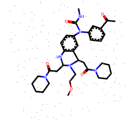 CNC(=O)N(c1cccc(C(C)=O)c1)c1ccc2c(c1)C(CC(=O)N1CCCCC1)N(CCOC)C(CC(=O)N1CCCCC1)N2